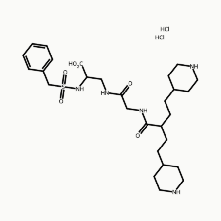 Cl.Cl.O=C(CNC(=O)C(CCC1CCNCC1)CCC1CCNCC1)NCC(NS(=O)(=O)Cc1ccccc1)C(=O)O